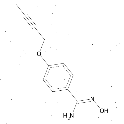 CC#CCOc1ccc(/C(N)=N/O)cc1